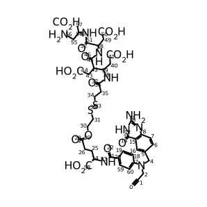 C#CCN(Cc1ccc2nc(N)[nH]c(=O)c2c1)c1ccc(C(=O)NC(CCC(=O)OCCSSCCC(=O)NC(CC(=O)O)C(CC(=O)O)C(=O)NC(CC(=O)O)C(=O)NC(CN)C(=O)O)C(=O)O)cc1